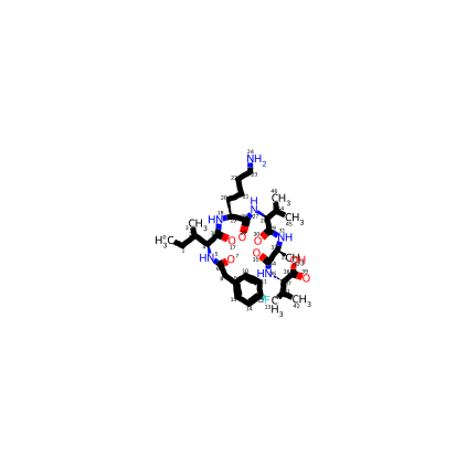 CCC(C)[C@H](NC(=O)Cc1ccc(F)cc1)C(=O)N[C@@H](CCCCN)C(=O)N[C@H](C(=O)N[C@@H](C)C(=O)N[C@H](C(=O)O)C(C)C)C(C)C